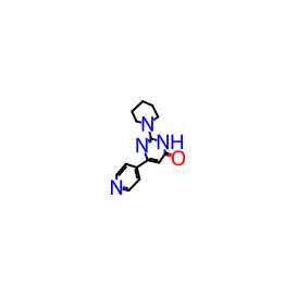 O=c1cc(-c2ccncc2)nc(N2CCCCC2)[nH]1